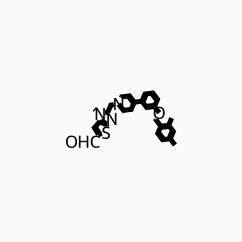 Cc1ccc(COc2cccc(C3=CCN(Cc4nc5sc(C=O)cc5n4C)CC3)c2)c(C)c1